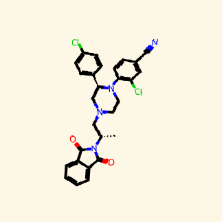 C[C@@H](CN1CCN(c2ccc(C#N)cc2Cl)[C@H](c2ccc(Cl)cc2)C1)N1C(=O)c2ccccc2C1=O